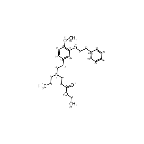 CCCN(CCC(=O)OCC)CCc1ccc(OC)c(OCCc2ccccc2)c1